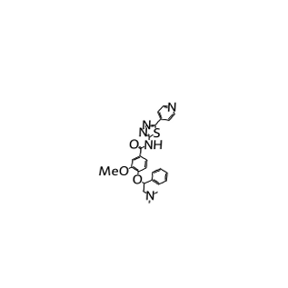 COc1cc(C(=O)Nc2nnc(-c3ccncc3)s2)ccc1OC(CN(C)C)c1ccccc1